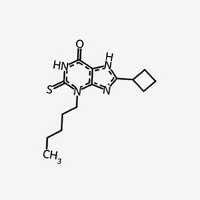 CCCCCn1c(=S)[nH]c(=O)c2[nH]c(C3CCC3)nc21